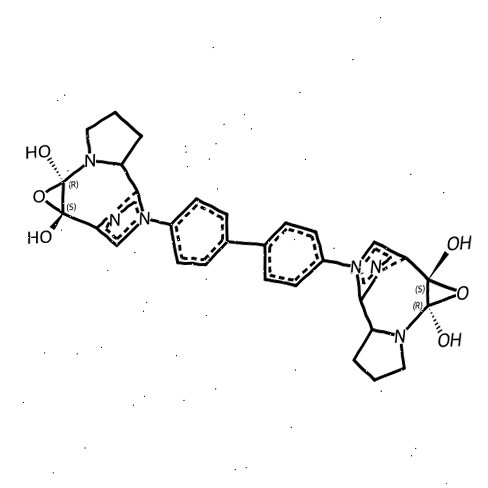 O[C@@]12O[C@@]1(O)N1CCCC1c1nc2cn1-c1ccc(-c2ccc(-n3cc4nc3C3CCCN3[C@]3(O)O[C@@]43O)cc2)cc1